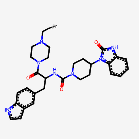 CC(C)CN1CCN(C(=O)C(Cc2ccc3[nH]ccc3c2)NC(=O)N2CCC(n3c(=O)[nH]c4ccccc43)CC2)CC1